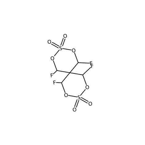 O=S1(=O)OC(F)C2(C(F)O1)C(F)OS(=O)(=O)OC2F